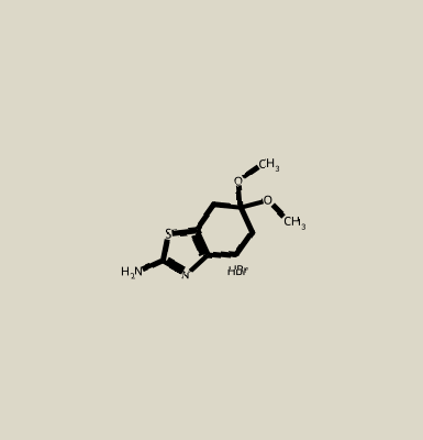 Br.COC1(OC)CCc2nc(N)sc2C1